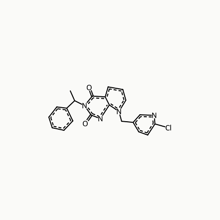 CC(c1ccccc1)n1c(=O)nc2n(Cc3ccc(Cl)nc3)cccc-2c1=O